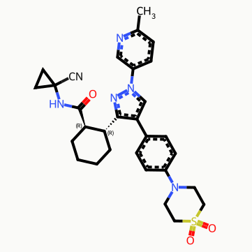 Cc1ccc(-n2cc(-c3ccc(N4CCS(=O)(=O)CC4)cc3)c([C@@H]3CCCC[C@H]3C(=O)NC3(C#N)CC3)n2)cn1